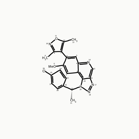 COc1cc2c(cc1-c1c(C)noc1C)ncc1nnn([C@H](C)c3ccc(Cl)cc3)c12